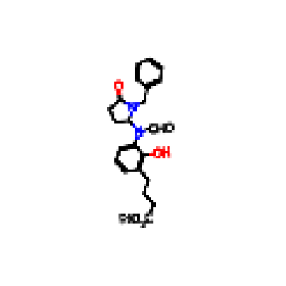 CCOC(=O)CCCc1cccc(N(C=O)C2CCC(=O)N2Cc2ccccc2)c1O